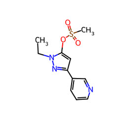 CCn1nc(-c2cccnc2)cc1OS(C)(=O)=O